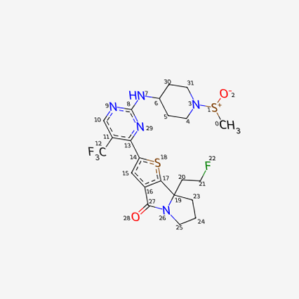 C[S+]([O-])N1CCC(Nc2ncc(C(F)(F)F)c(-c3cc4c(s3)C3(CCF)CCCN3C4=O)n2)CC1